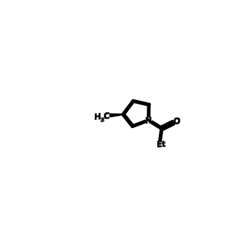 CCC(=O)N1CC[C@H](C)C1